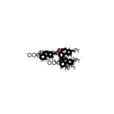 CC(C)c1ccc2c(c1)CC[C@H]1[C@@](C)(C(=O)[O-])CCC[C@]21C.CC(C)c1ccc2c(c1)CC[C@H]1[C@@](C)(C(=O)[O-])CCC[C@]21C.CC(C)c1ccc2c(c1)CC[C@H]1[C@@](C)(C(=O)[O-])CCC[C@]21C.[Al+3]